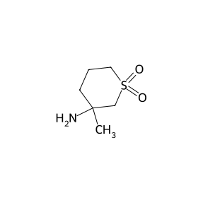 CC1(N)CCCS(=O)(=O)C1